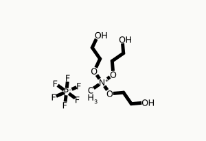 C[N+](OCCO)(OCCO)OCCO.F[P-](F)(F)(F)(F)F